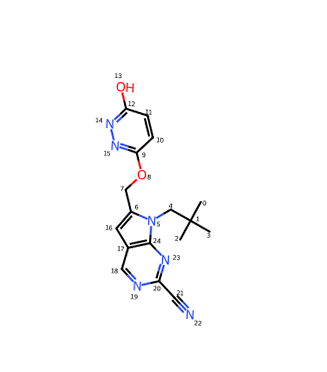 CC(C)(C)Cn1c(COc2ccc(O)nn2)cc2cnc(C#N)nc21